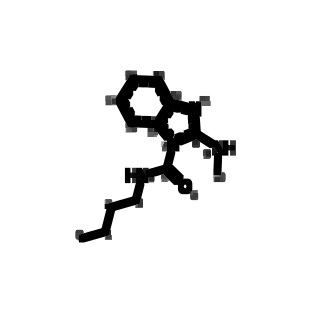 CCCCNC(=O)n1c(NC)nc2ccccc21